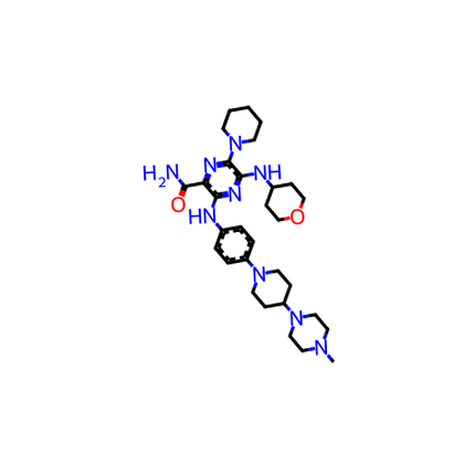 CN1CCN(C2CCN(c3ccc(Nc4nc(NC5CCOCC5)c(N5CCCCC5)nc4C(N)=O)cc3)CC2)CC1